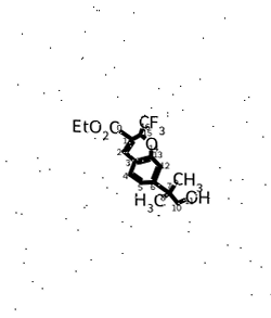 CCOC(=O)C1=Cc2ccc(C(C)(C)CO)cc2OC1C(F)(F)F